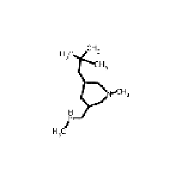 CPCC1CC(CC(C)(C)C)CN(C)C1